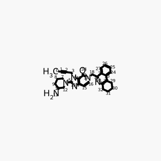 CC#CCn1c(N2CCCC(N)C2)nc2ccn(Cc3nc4c(c5ccccc35)CCCC4)c(=O)c21